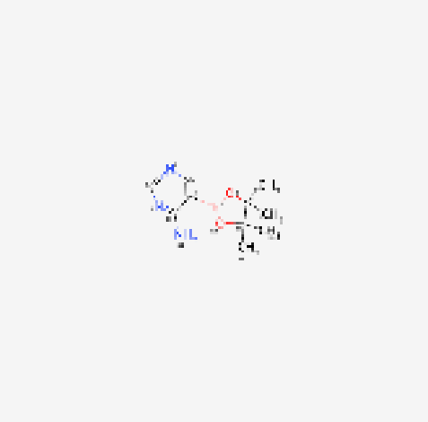 CC1(C)OB(c2cncnc2N)OC1(C)C